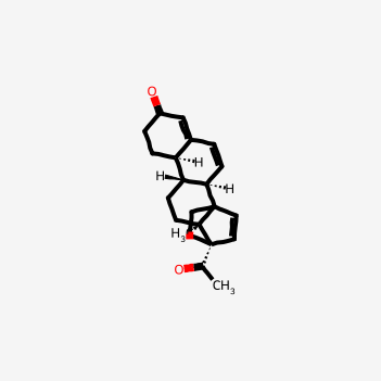 CC(=O)[C@]12C=CC3(CC1)[C@@H]1C=CC4=CC(=O)CC[C@@H]4[C@H]1CC[C@@]32C